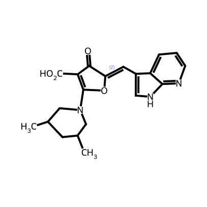 CC1CC(C)CN(C2=C(C(=O)O)C(=O)/C(=C/c3c[nH]c4ncccc34)O2)C1